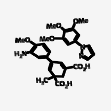 COc1cc(-n2cccn2)cc(OC)c1OC.COc1ccc(C2=CC(C)(C(=O)O)CC(C(=O)O)=C2)cc1N